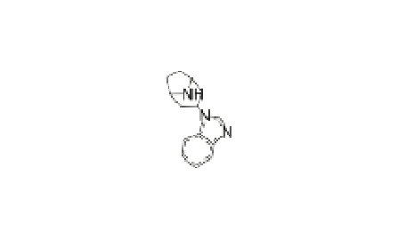 c1ccc2c(c1)ncn2C1CC2CCC(C1)N2